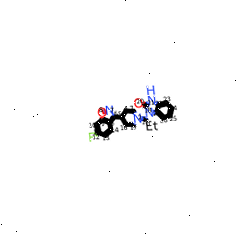 CCC(N1CCC(c2noc3cc(F)ccc23)CC1)n1c(=O)[nH]c2ccccc21